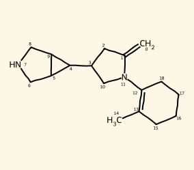 C=C1CC(C2C3CNCC32)CN1C1=C(C)CCCC1